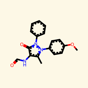 COc1ccc(-n2c(C)c(NC=O)c(=O)n2-c2ccccc2)cc1